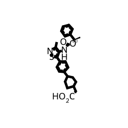 Cc1nsc(-c2ccc(C3CCC(CC(=O)O)CC3)cc2)c1NC(=O)O[C@H](C)c1ccccc1